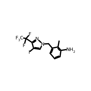 Cc1c(N)cccc1Cn1cc(I)c(C(F)(F)C(F)(F)F)n1